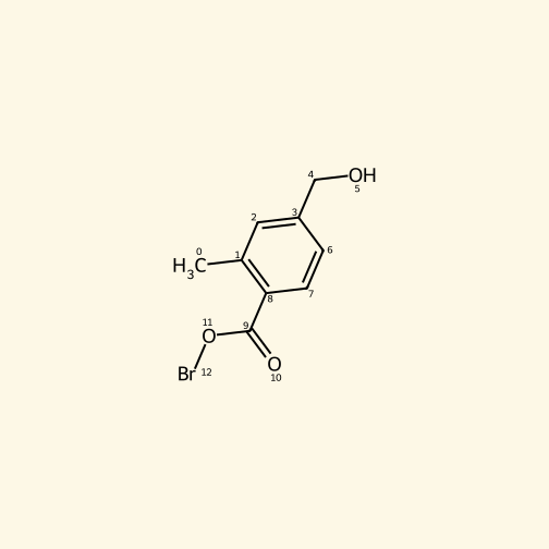 Cc1cc(CO)ccc1C(=O)OBr